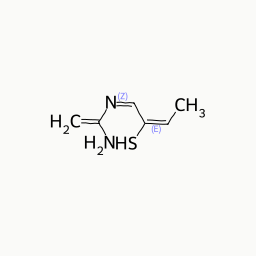 C=C(N)/N=C\C(S)=C/C